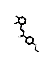 CCSc1ccc(C(=O)/C=C/c2cccc(C)c2C)cc1